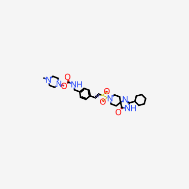 CN1CCN(OC(=O)NCc2ccc(/C=C/S(=O)(=O)N3CCC4(CC3)N=C(C3CCCCC3)NC4=O)cc2)CC1